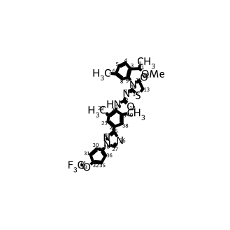 COC(C)c1ccc(C)cc1N1C(=O)CS/C1=N\C(=O)Nc1c(C)cc(-c2ncn(-c3ccc(OC(F)(F)F)cc3)n2)cc1C